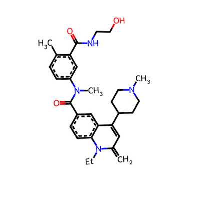 C=C1C=C(C2CCN(C)CC2)c2cc(C(=O)N(C)c3ccc(C)c(C(=O)NCCO)c3)ccc2N1CC